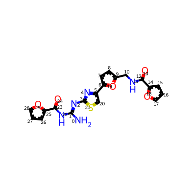 N/C(=N\c1nc(-c2ccc(CNC(=O)c3ccco3)o2)cs1)NC(=O)c1ccco1